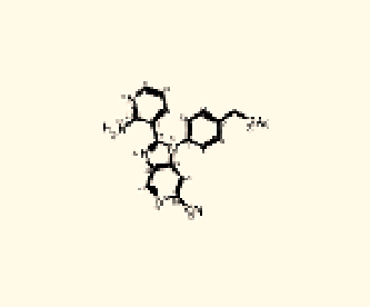 CC(=O)OCc1ccc(-n2c(-c3cccnc3N)nc3cnc(C#N)cc32)cc1